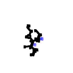 C=N/C(C)=C(\N=C/C)OCC